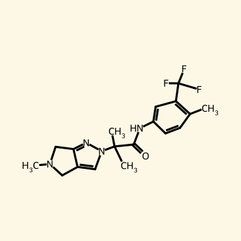 Cc1ccc(NC(=O)C(C)(C)n2cc3c(n2)CN(C)C3)cc1C(F)(F)F